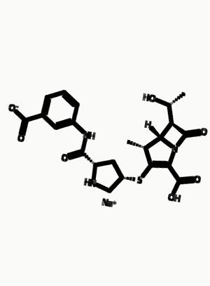 C[C@@H](O)[C@H]1C(=O)N2C(C(=O)O)=C(S[C@@H]3CN[C@H](C(=O)Nc4cccc(C(=O)[O-])c4)C3)[C@H](C)[C@H]12.[Na+]